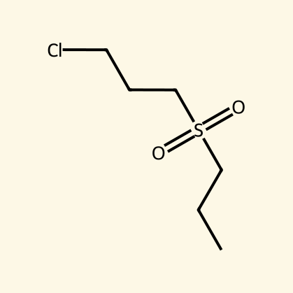 CCCS(=O)(=O)CCCCl